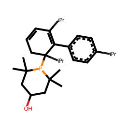 CC(C)C1=C(c2ccc(C(C)C)cc2)C(C(C)C)(P2C(C)(C)CC(O)CC2(C)C)CC=C1